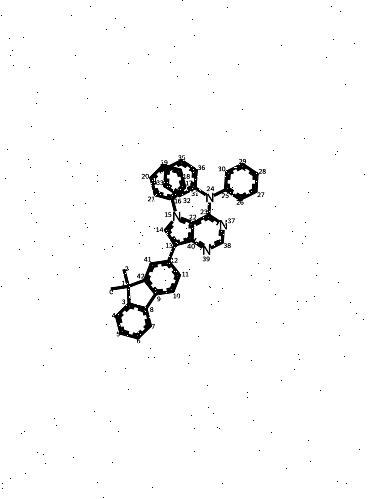 CC1(C)c2ccccc2-c2ccc(-c3cn(-c4ccccc4)c4c(N(c5ccccc5)c5ccccc5)ncnc34)cc21